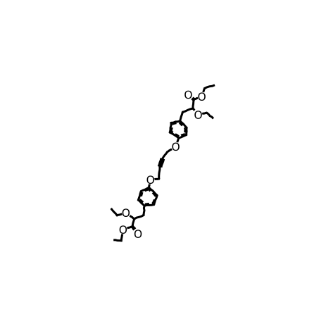 CCOC(=O)C(Cc1ccc(OCC#CCOc2ccc(CC(OCC)C(=O)OCC)cc2)cc1)OCC